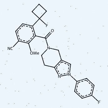 COc1c(C#N)ccc(C2(F)CCC2)c1C(=O)N1CCc2nn(-c3ccc(F)cc3)cc2C1